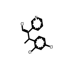 CC(/C(=C/Cl)c1cccnc1)c1ccc(Cl)cc1Cl